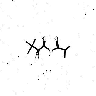 CC(C)C(=O)OC(=O)C(=O)C(C)(C)C